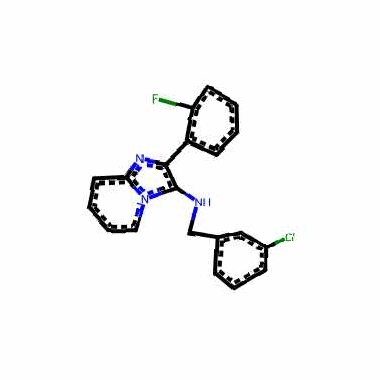 Fc1ccccc1-c1nc2ccccn2c1NCc1cccc(Cl)c1